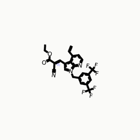 C=Cc1ccnc2c1c(/C=C(\C#N)C(=O)OCC)cn2Cc1cc(C(F)(F)F)cc(C(F)(F)F)c1